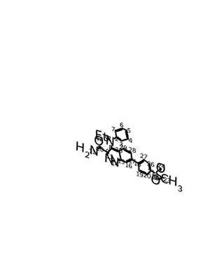 CCN(c1ccccc1)c1c(C(N)=O)nnc2cc(-c3ccc(S(C)(=O)=O)cc3)ccc12